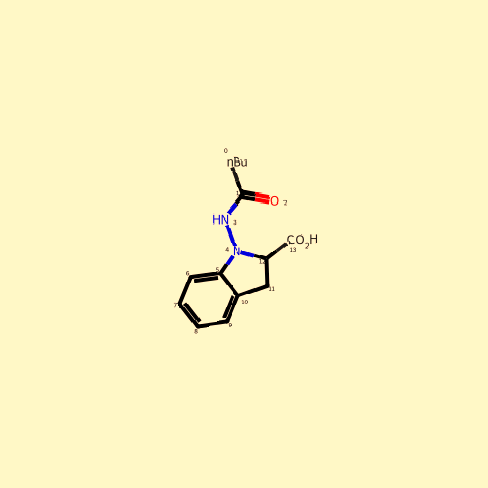 CCCCC(=O)NN1c2ccccc2CC1C(=O)O